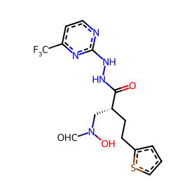 O=CN(O)C[C@@H](CCc1cccs1)C(=O)NNc1nccc(C(F)(F)F)n1